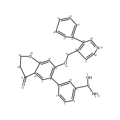 NC(O)c1cccc(-c2cc3c(cc2OCc2ccncc2-c2ccccc2)OCCC3=O)c1